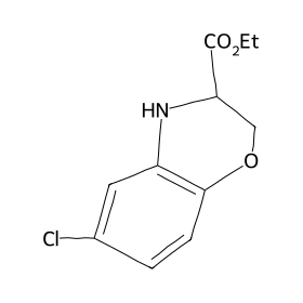 CCOC(=O)C1COc2ccc(Cl)cc2N1